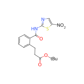 CC(C)(C)OC(=O)CCc1ccccc1C(=O)Nc1ncc([N+](=O)[O-])s1